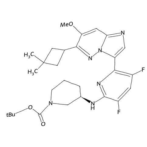 COc1cc2ncc(-c3nc(N[C@@H]4CCCN(C(=O)OC(C)(C)C)C4)c(F)cc3F)n2nc1C1CC(C)(C)C1